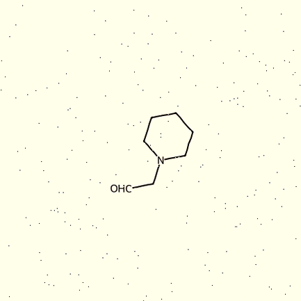 O=CCN1CCCCC1